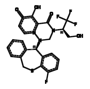 O=C1c2c(O)c(=O)ccn2N([C@@H]2c3ccccc3CSc3c(F)cccc32)CN1[C@H](CO)C(F)(F)F